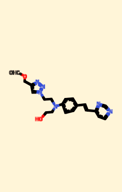 O=COCc1cn(CCN(CCO)c2ccc(/C=C/c3ccncn3)cc2)nn1